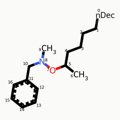 CCCCCCCCCCCCCCC(C)ON(C)Cc1ccccc1